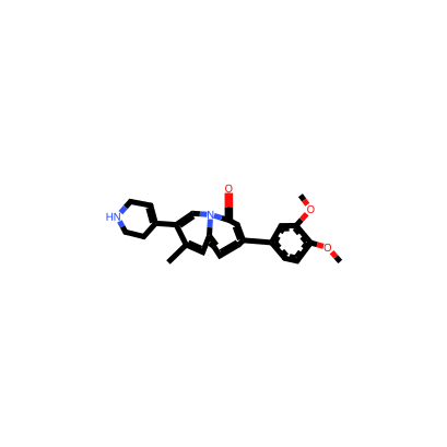 COc1ccc(C2=C\C(=O)N3C=C(C4=CCNCC4)C(C)=C\C3=C/C=C/2)cc1OC